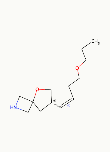 CCCOCC/C=C\[C@H]1COC2(CNC2)C1